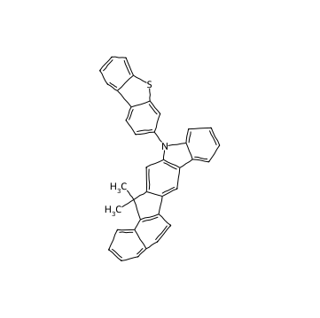 CC1(C)c2cc3c(cc2-c2ccc4ccccc4c21)c1ccccc1n3-c1ccc2c(c1)sc1ccccc12